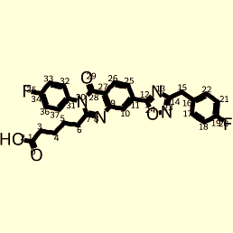 O=C(O)CCCCc1nc2cc(-c3nc(Cc4ccc(F)cc4)no3)ccc2c(=O)n1-c1ccc(F)cc1